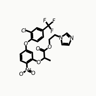 CC(Oc1cc(Oc2ccc(C(F)(F)F)cc2Cl)ccc1[N+](=O)[O-])C(=O)OCCn1ccnc1